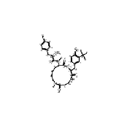 CN1CCCCC(N(C)C(=O)[C@@H](N)Cc2ccc(F)cc2)C(=O)NC(Cc2ccc(O)c(C(C)(C)C)c2)C(=O)NCCC1=O